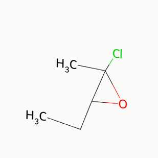 CCC1OC1(C)Cl